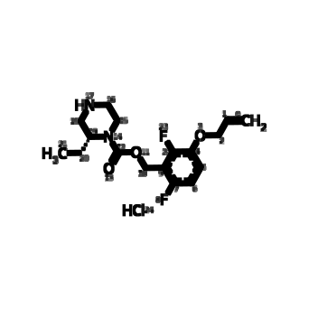 C=CCOc1ccc(F)c(COC(=O)N2CCNC[C@H]2CC)c1F.Cl